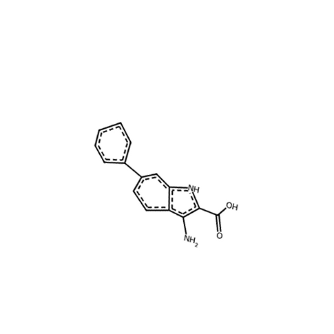 Nc1c(C(=O)O)[nH]c2cc(-c3ccccc3)ccc12